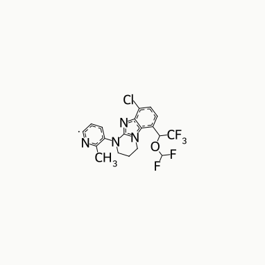 Cc1n[c]ccc1N1CCCn2c1nc1c(Cl)ccc(C(OC(F)F)C(F)(F)F)c12